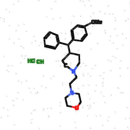 COc1ccc(C(c2ccccc2)C2CCN(CCN3CCOCC3)CC2)cc1.Cl.Cl